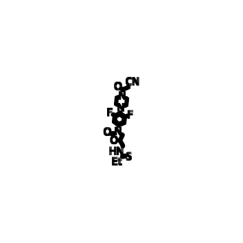 CCC(=S)NCC1CN(c2cc(F)c(N3CCN(C(=O)CC#N)CC3)c(F)c2)C(=O)O1